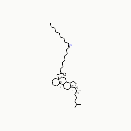 CCCCCCCC/C=C\CCCCCCCC(=O)OC12CCCC[C@]1(C)C1CC[C@@]3(C)C(CC[C@@H]3[C@H](C)CCCC(C)C)C1CC2